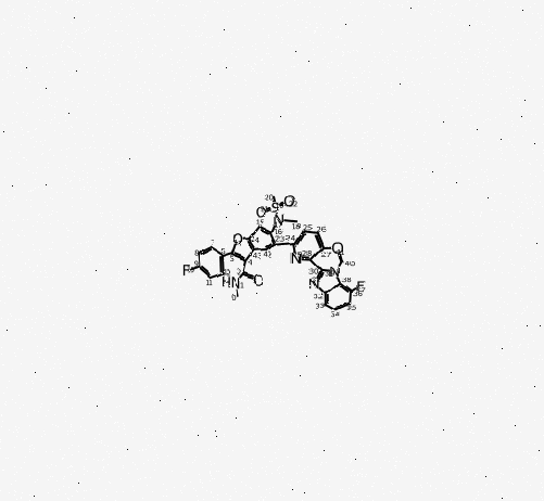 CNC(=O)c1c(-c2ccc(F)cc2)oc2cc(N(C)S(C)(=O)=O)c(-c3ccc4c(n3)-c3nc5cccc(F)c5n3CO4)cc12